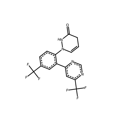 O=C1CC=CN(c2ccc(C(F)(F)F)cc2-c2cc(C(F)(F)F)ncn2)N1